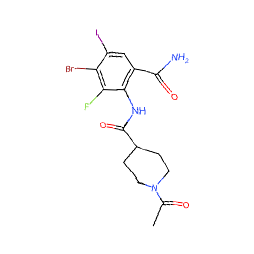 CC(=O)N1CCC(C(=O)Nc2c(C(N)=O)cc(I)c(Br)c2F)CC1